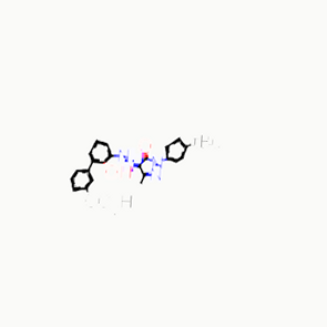 CC1=NN(c2ccc(C(C)(C)C)cc2)C(=O)C1=NNc1cccc(-c2cccc(C(=O)O)c2)c1O